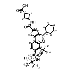 CC(C)(C)NS(=O)(=O)c1ccc(-c2sc(C(=O)N[C@H]3C[C@H](C(=O)O)C3)nc2CC2CCCCC2)c(Cl)c1C(F)(F)F